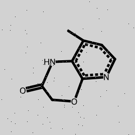 Cc1ccnc2c1NC(=O)CO2